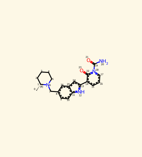 C[C@@H]1CCCCN1Cc1ccc2[nH]c(-c3c[c]cn(C(N)=O)c3=O)cc2c1